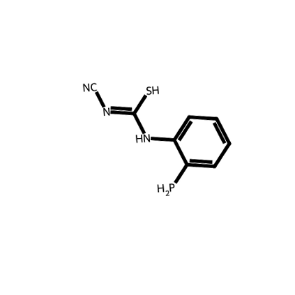 N#CN=C(S)Nc1ccccc1P